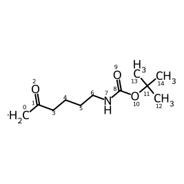 [CH2]C(=O)CCCCNC(=O)OC(C)(C)C